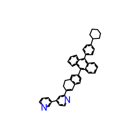 C1=C(c2cc(-c3cccnc3)ccn2)CCc2cc(-c3c4ccccc4c(-c4ccc(C5CCCCC5)cc4)c4ccccc34)ccc21